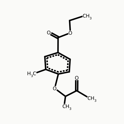 CCOC(=O)c1ccc(OC(C)C(C)=O)c(C)c1